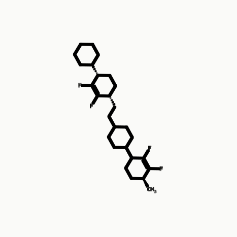 C[C@H]1CCC(C2CCC(CC[C@H]3CC[C@@H](C4CCCCC4)C(F)=C3F)CC2)C(F)=C1F